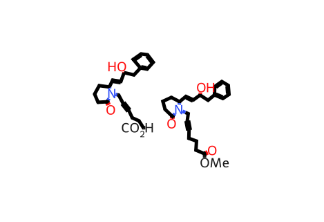 COC(=O)CCCC#CCN1C(=O)CCCC1C=CC(O)Cc1ccccc1.O=C(O)CCCC#CCN1C(=O)CCCC1C=CC(O)Cc1ccccc1